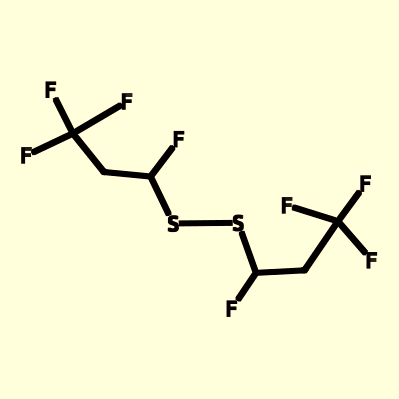 FC(CC(F)(F)F)SSC(F)CC(F)(F)F